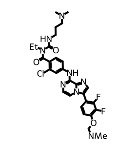 CCN(C(=O)NCCCN(C)C)C(=O)c1ccc(Nc2nccn3c(-c4ccc(OCNC)c(F)c4F)cnc23)cc1Cl